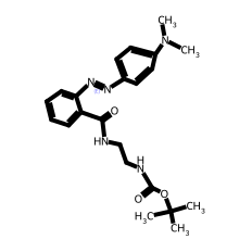 CN(C)c1ccc(/N=N/c2ccccc2C(=O)NCCNC(=O)OC(C)(C)C)cc1